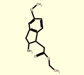 CCOC(=O)CC1c2ccc(OC)cc2CC1N